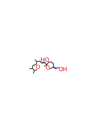 CC(C/C=C/C1(C)OC/C(=C/CO)CCC1O)C(=O)CC(C)C(C)C